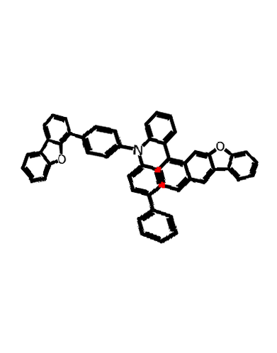 c1ccc(-c2ccc(N(c3ccc(-c4cccc5c4oc4ccccc45)cc3)c3ccccc3-c3cccc4cc5c(cc34)oc3ccccc35)cc2)cc1